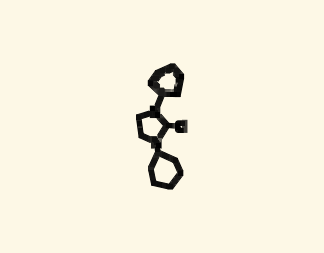 ClC1N(c2ccccc2)CCN1C1CCCCC1